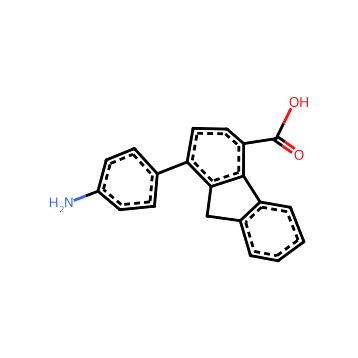 Nc1ccc(-c2ccc(C(=O)O)c3c2Cc2ccccc2-3)cc1